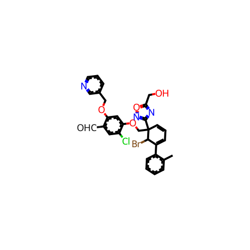 Cc1ccccc1C1=CC=CC(COc2cc(OCc3cccnc3)c(C=O)cc2Cl)(c2noc(CO)n2)C1Br